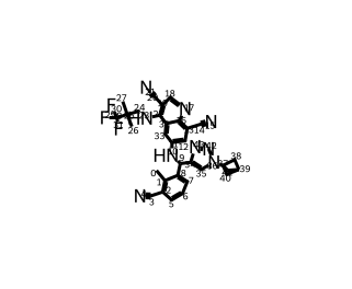 Cc1c(C#N)cccc1C(Nc1cc(C#N)c2ncc(C#N)c(NCC(C)(C)C(F)(F)F)c2c1)c1cn(C23CC(C2)C3)nn1